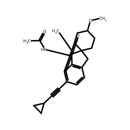 COC1CCC2(CC1)Cc1ccc(C#CC3CC3)cc1C21N=C(NC(C)=O)N(C)C1=O